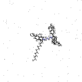 CCCCCCCCCCCCN1/C(=C/C=C/C=c2/c(-c3ccc(C(F)(F)F)cc3)nn3c(COC)nnc23)C(C)(C)c2cc(Cl)ccc21